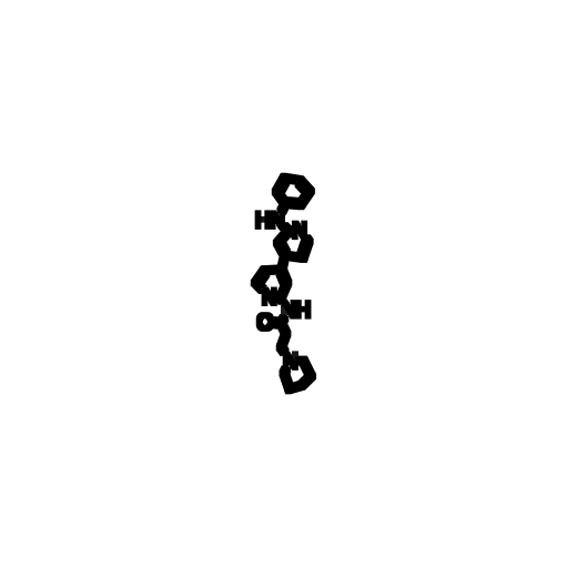 O=C(CCN1CCCCC1)Nc1cc(-c2ccnc(Nc3ccccc3)c2)ccn1